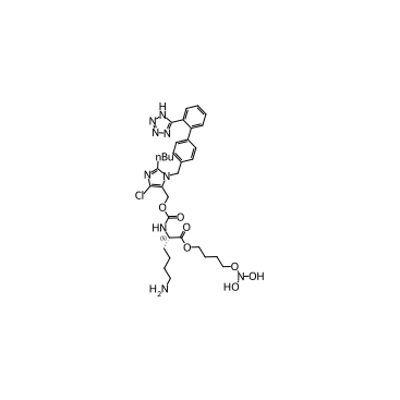 CCCCc1nc(Cl)c(COC(=O)N[C@@H](CCCCN)C(=O)OCCCCON(O)O)n1Cc1ccc(-c2ccccc2-c2nnn[nH]2)cc1